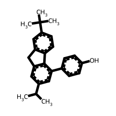 CC(C)c1cc2c(c(-c3ccc(O)cc3)c1)-c1ccc(C(C)(C)C)cc1C2